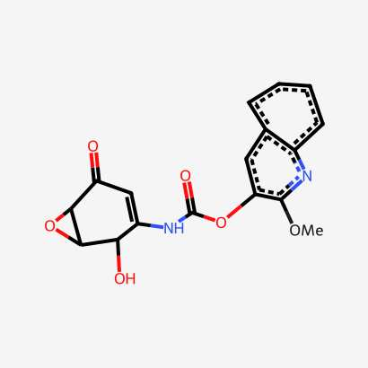 COc1nc2ccccc2cc1OC(=O)NC1=CC(=O)C2OC2C1O